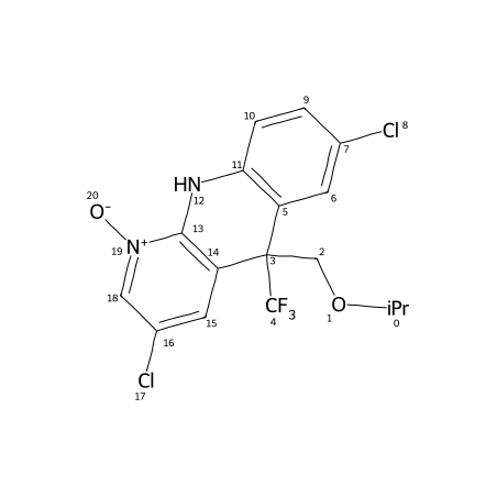 CC(C)OCC1(C(F)(F)F)c2cc(Cl)ccc2Nc2c1cc(Cl)c[n+]2[O-]